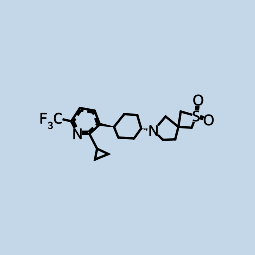 O=S1(=O)CC2(CCN([C@H]3CC[C@H](c4ccc(C(F)(F)F)nc4C4CC4)CC3)C2)C1